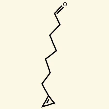 O=CCCCCCCC1=CC1